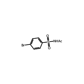 CC(=O)NS(=O)(=O)c1ccc(Br)cc1